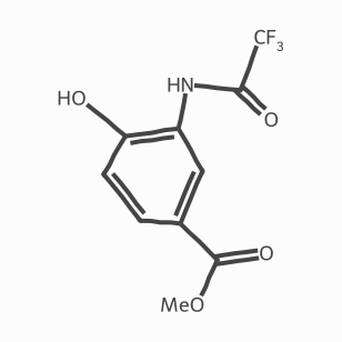 COC(=O)c1ccc(O)c(NC(=O)C(F)(F)F)c1